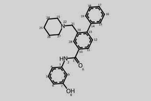 O=C(Nc1cccc(O)c1)c1ccc(-c2ccccc2)c(CN2CCCCC2)c1